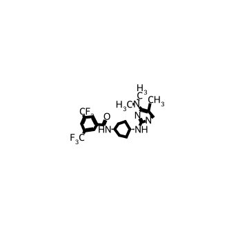 Cc1cnc(N[C@H]2CC[C@@H](NC(=O)c3cc(C(F)(F)F)cc(C(F)(F)F)c3)CC2)nc1N(C)C